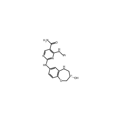 CC(C)Nc1nc(Nc2ccc3c(c2)NC[C@H](O)CO3)ncc1C(N)=O